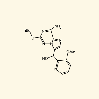 CCCCOc1nc(N)c2ncc(C(O)c3ncccc3OC)n2n1